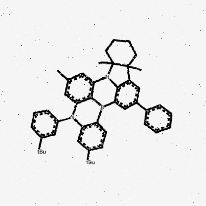 Cc1cc2c3c(c1)N1c4c(cc(-c5ccccc5)cc4C4(C)CCCCC14C)B3c1ccc(C(C)(C)C)cc1N2c1cccc(C(C)(C)C)c1